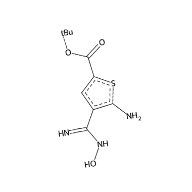 CC(C)(C)OC(=O)c1cc(C(=N)NO)c(N)s1